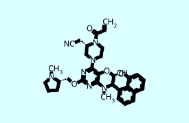 C=CC(=O)N1CCN(c2nc(OC[C@@H]3CCCN3C)nc3c2O[C@@H](C)C(c2cccc4cccc(Cl)c24)N3C)C[C@@H]1CC#N